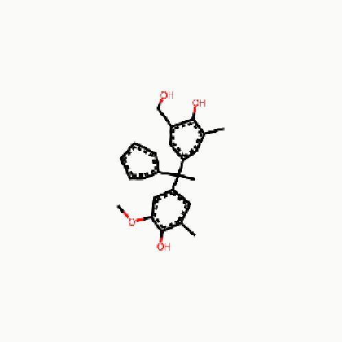 COc1cc(C(C)(c2ccccc2)c2cc(C)c(O)c(CO)c2)cc(C)c1O